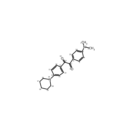 CN(C)c1ccc(C(=O)C(=O)c2ccc(N3CCCCC3)cc2)cc1